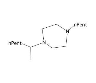 CCCCCC(C)N1CCN(CCCCC)CC1